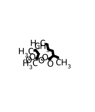 CCCCC(CC)C(=O)OOC(C)(CC(C)C)O[O]